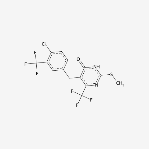 CSc1nc(C(F)(F)F)c(Cc2ccc(Cl)c(C(F)(F)F)c2)c(=O)[nH]1